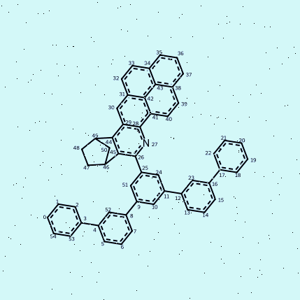 c1ccc(-c2cccc(-c3cc(-c4cccc(-c5ccccc5)c4)cc(-c4nc5c(cc6ccc7cccc8ccc5c6c78)c5c4C4CCC5C4)c3)c2)cc1